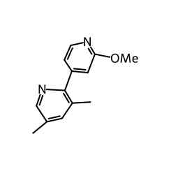 COc1cc(-c2ncc(C)cc2C)ccn1